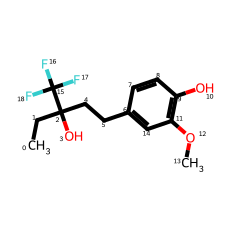 CCC(O)(CCc1ccc(O)c(OC)c1)C(F)(F)F